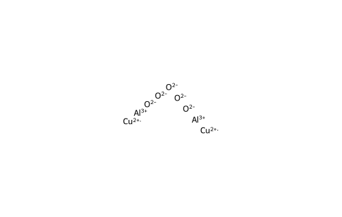 [Al+3].[Al+3].[Cu+2].[Cu+2].[O-2].[O-2].[O-2].[O-2].[O-2]